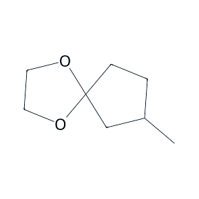 CC1CCC2(C1)OCCO2